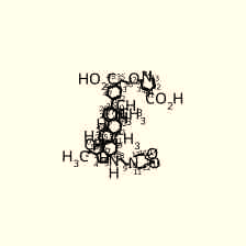 C=C(C)C1CC[C@]2(NCCN3CCS(=O)(=O)CC3)CC[C@]3(C)[C@H](CC[C@@H]4[C@@]5(C)CC=C(C6=CCC(CCOc7cc(C(=O)O)ccn7)(C(=O)O)CC6)C(C)(C)[C@@H]5CC[C@]43C)[C@@H]12